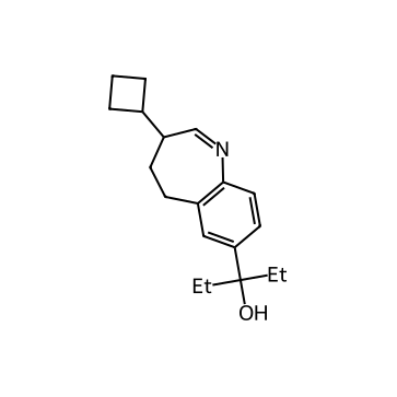 CCC(O)(CC)c1ccc2c(c1)CCC(C1CCC1)C=N2